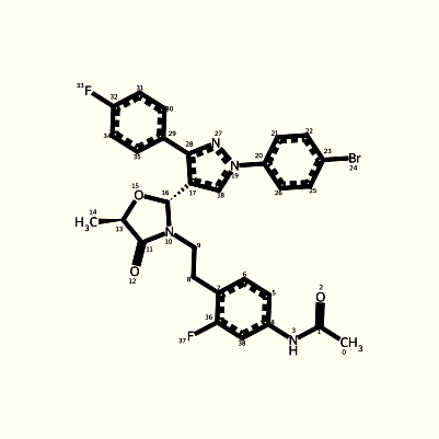 CC(=O)Nc1ccc(CCN2C(=O)[C@@H](C)O[C@@H]2c2cn(-c3ccc(Br)cc3)nc2-c2ccc(F)cc2)c(F)c1